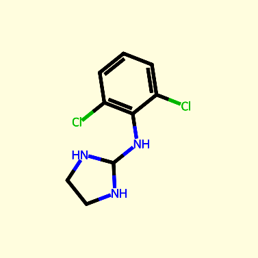 Clc1cccc(Cl)c1NC1NCCN1